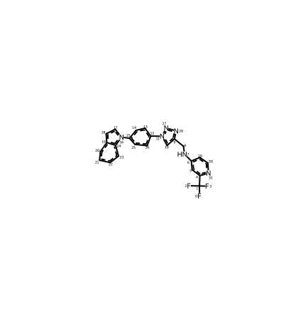 FC(F)(F)c1cc(NCc2cn(-c3ccc(-n4ccc5ccccc54)cc3)nn2)ccn1